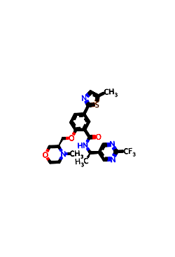 Cc1cnc(-c2ccc(OC[C@@H]3COCCN3C)c(C(=O)N[C@H](C)c3cnc(C(F)(F)F)nc3)c2)s1